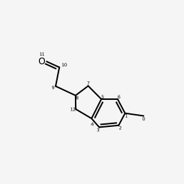 Cc1ccc2c(c1)CC(CC=O)C2